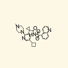 CN1CCN(c2ncc(C3CCC3)cc2C2(C(=O)NS(=O)(=O)c3cccc4ncccc34)CC2)CC1